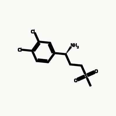 CS(=O)(=O)CC[C@@H](N)c1ccc(Cl)c(Cl)c1